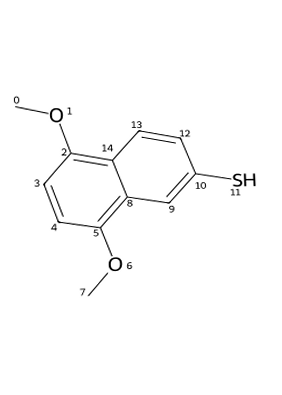 COc1ccc(OC)c2cc(S)ccc12